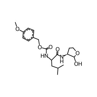 COc1ccc(COC(=O)NC(CC(C)C)C(=O)N[C@H]2CCOC2O)cc1